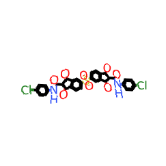 O=C(Nc1ccc(Cl)cc1)C1C(=O)c2ccc(S(=O)(=O)c3ccc4c(c3)C(=O)C(C(=O)Nc3ccc(Cl)cc3)C4=O)cc2C1=O